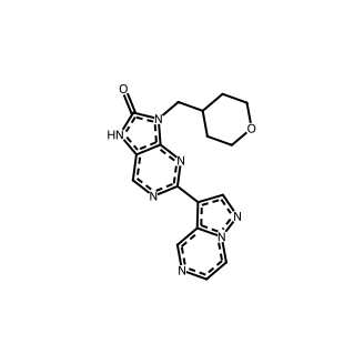 O=c1[nH]c2cnc(-c3cnn4ccncc34)nc2n1CC1CCOCC1